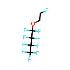 FCCOC(F)(F)C(F)(F)C(F)(F)C(F)(F)F